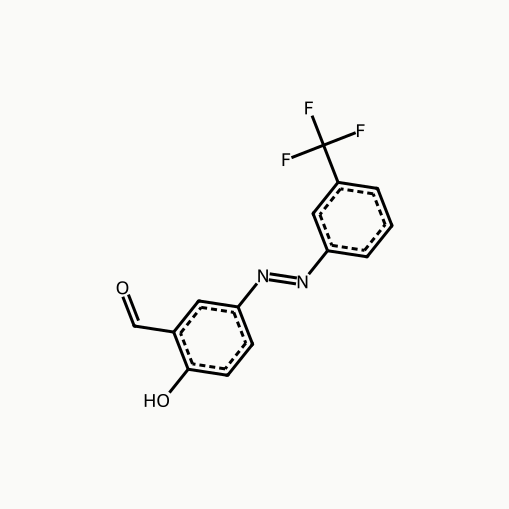 O=Cc1cc(N=Nc2cccc(C(F)(F)F)c2)ccc1O